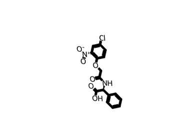 O=C(COc1ccc(Cl)cc1[N+](=O)[O-])N[C@H](C(=O)O)c1ccccc1